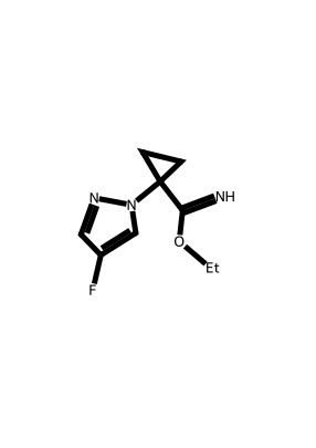 CCOC(=N)C1(n2cc(F)cn2)CC1